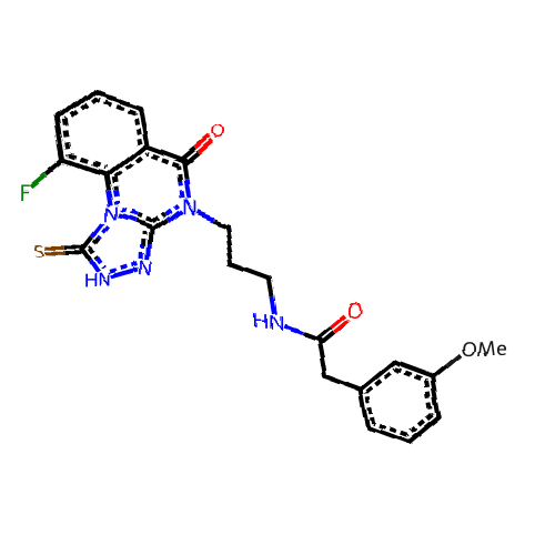 COc1cccc(CC(=O)NCCCn2c(=O)c3cccc(F)c3n3c(=S)[nH]nc23)c1